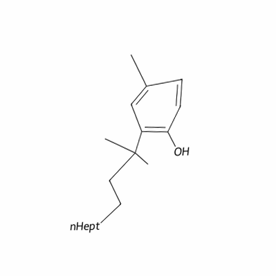 CCCCCCCCCC(C)(C)c1cc(C)ccc1O